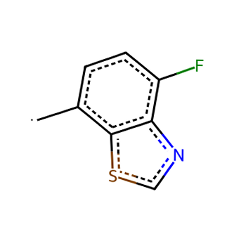 [CH2]c1ccc(F)c2ncsc12